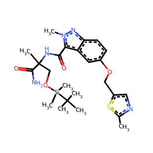 Cc1ncc(COc2ccc3nn(C)c(C(=O)NC(C)(CO[Si](C)(C)C(C)(C)C)C(N)=O)c3c2)s1